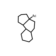 CC(=O)C12CCCCC1C1CCCCC1CC2